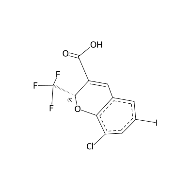 O=C(O)C1=Cc2cc(I)cc(Cl)c2O[C@@H]1C(F)(F)F